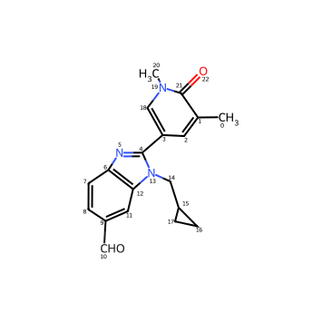 Cc1cc(-c2nc3ccc(C=O)cc3n2CC2CC2)cn(C)c1=O